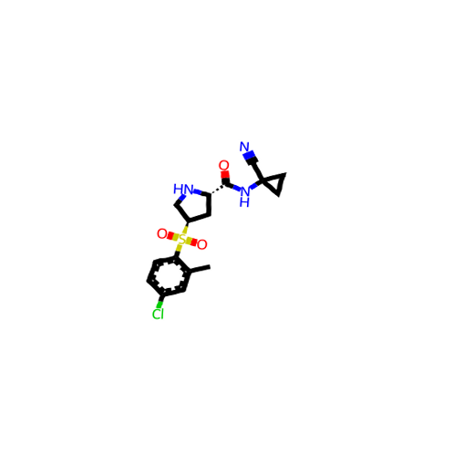 Cc1cc(Cl)ccc1S(=O)(=O)[C@H]1CN[C@H](C(=O)NC2(C#N)CC2)C1